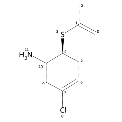 C=C(C)S[C@H]1CC=C(Cl)CC1N